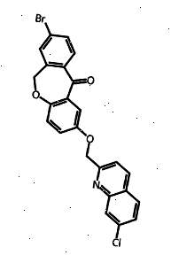 O=C1c2ccc(Br)cc2COc2ccc(OCc3ccc4ccc(Cl)cc4n3)cc21